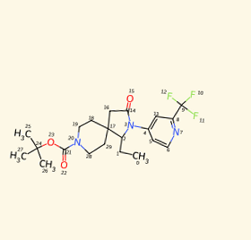 CCC1N(c2ccnc(C(F)(F)F)c2)C(=O)CC12CCN(C(=O)OC(C)(C)C)CC2